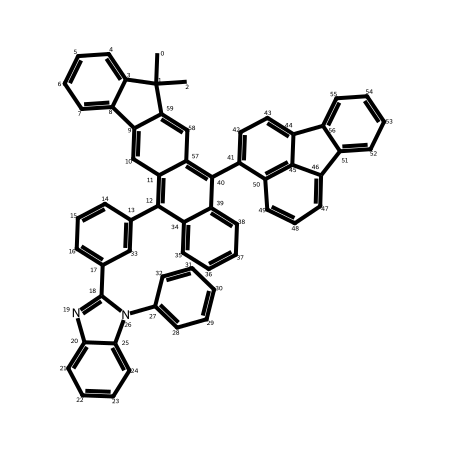 CC1(C)c2ccccc2-c2cc3c(-c4cccc(-c5nc6ccccc6n5-c5ccccc5)c4)c4ccccc4c(-c4ccc5c6c(cccc46)-c4ccccc4-5)c3cc21